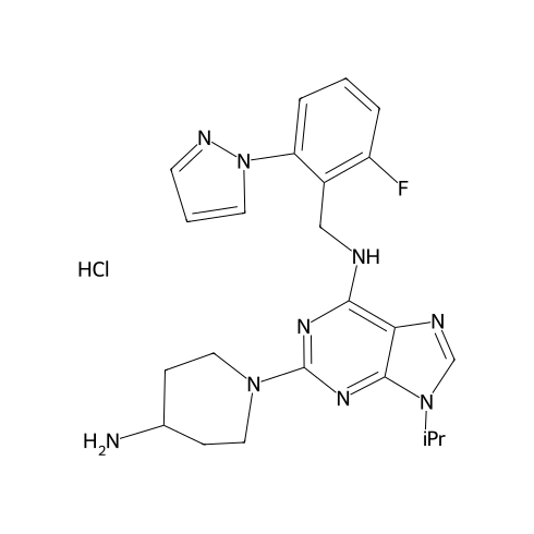 CC(C)n1cnc2c(NCc3c(F)cccc3-n3cccn3)nc(N3CCC(N)CC3)nc21.Cl